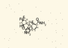 NC(=O)c1ccc(F)c(C2(CF)N=C(N)O[C@H]3CC(F)(F)CC32)c1